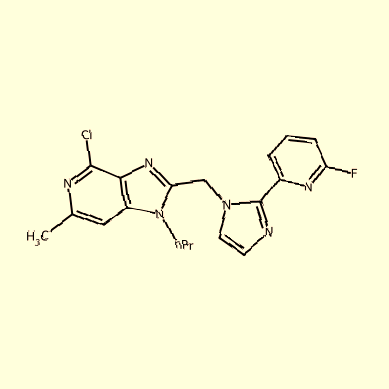 CCCn1c(Cn2ccnc2-c2cccc(F)n2)nc2c(Cl)nc(C)cc21